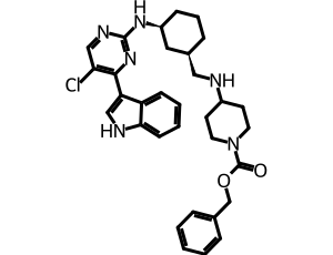 O=C(OCc1ccccc1)N1CCC(NC[C@@H]2CCC[C@H](Nc3ncc(Cl)c(-c4c[nH]c5ccccc45)n3)C2)CC1